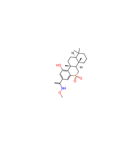 C=C(NOC)c1cc(O)c2c(c1)S(=O)(=O)C[C@@H]1[C@@]3(C)CCCC(C)(C)[C@@H]3CC[C@@]21C